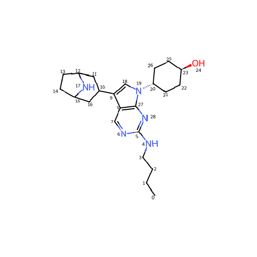 CCCCNc1ncc2c(C3CC4CCC(C3)N4)cn([C@H]3CC[C@H](O)CC3)c2n1